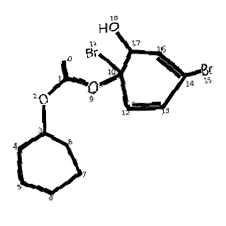 CC(OC1CCCCC1)OC1(Br)C=CC(Br)=CC1O